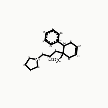 CCOC(=O)C1(CCCN2CCCC2)CC=CCC1c1ccccc1